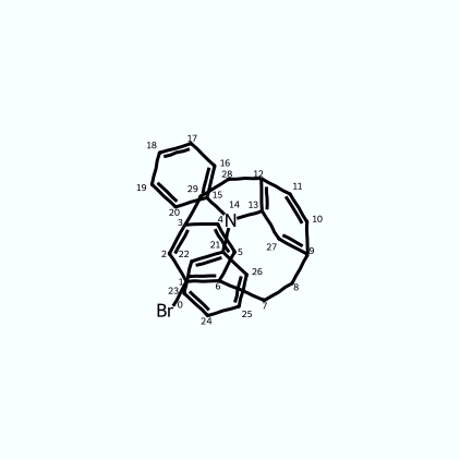 Brc1cc2ccc1CCc1ccc(c(N(c3ccccc3)c3ccccc3)c1)CC2